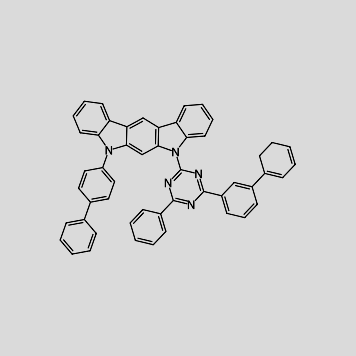 C1=CCCC(c2cccc(-c3nc(-c4ccccc4)nc(-n4c5ccccc5c5cc6c7ccccc7n(-c7ccc(-c8ccccc8)cc7)c6cc54)n3)c2)=C1